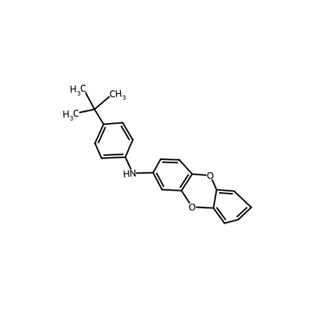 CC(C)(C)c1ccc(Nc2ccc3c(c2)Oc2ccccc2O3)cc1